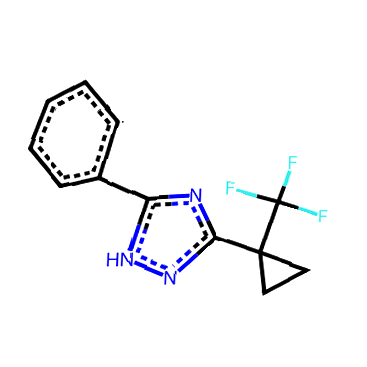 FC(F)(F)C1(c2n[nH]c(-c3[c]cccc3)n2)CC1